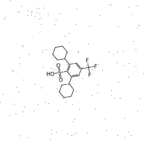 O=S(=O)(O)c1c(C2CCCCC2)cc(C(F)(F)F)cc1C1CCCCC1